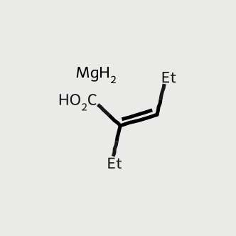 CCC=C(CC)C(=O)O.[MgH2]